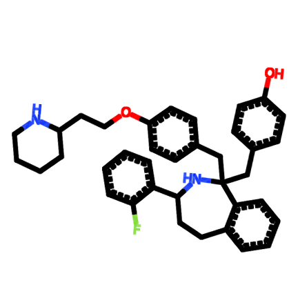 Oc1ccc(CC2(Cc3ccc(OCCC4CCCCN4)cc3)NC(c3ccccc3F)CCc3ccccc32)cc1